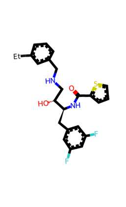 CCc1cccc(CNC[C@@H](O)[C@H](Cc2cc(F)cc(F)c2)NC(=O)c2cccs2)c1